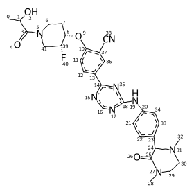 CC(O)C(=O)N1CC[C@H](Oc2ccc(-c3ncnc(Nc4ccc(C5C(=O)N(C)CCN5C)cc4)n3)cc2C#N)[C@H](F)C1